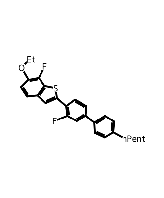 CCCCCc1ccc(-c2ccc(-c3cc4ccc(OCC)c(F)c4s3)c(F)c2)cc1